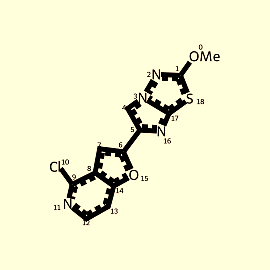 COc1nn2cc(-c3cc4c(Cl)nccc4o3)nc2s1